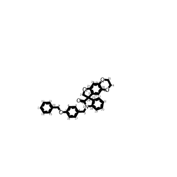 O=C1N(Cc2ccc(OCc3ccccc3)cc2)c2ccccc2C12COc1cc3c(cc12)OCCO3